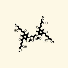 COCC(O)CCC(=O)c1c(I)c(C(=O)CCC(O)COC)c(I)c(N(CC(O)CN(C(C)=O)c2c(I)c(C(=O)CCC(O)COC)c(I)c(C(=O)CCC(O)COC)c2I)C(C)=O)c1I